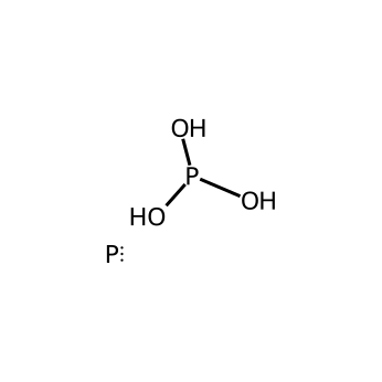 OP(O)O.[P]